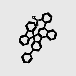 O=[N+]([O-])c1ccccc1-c1cc2c(c3ccccc13)-c1ccc(-c3ccccc3)cc1C21c2ccccc2-c2ccccc21